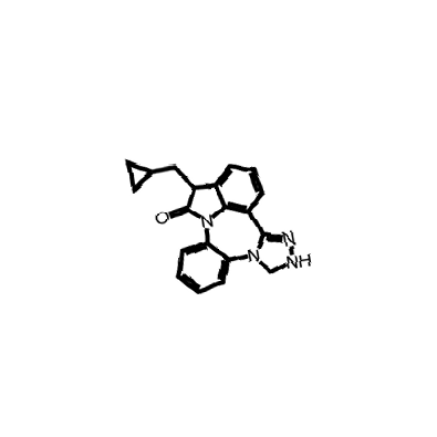 O=C1C(CC2CC2)c2cccc3c2N1c1ccccc1N1CNN=C31